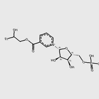 CCC(O)COC(=O)c1ccc[n+]([C@@H]2O[C@H](COP(=O)(O)O)[C@@H](O)[C@H]2O)c1